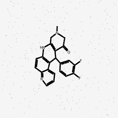 CN1CC(=O)C2=C(C1)Nc1ccc3ncccc3c1C2c1ccc(F)c(F)c1